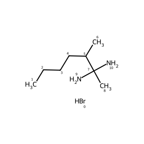 Br.CCCCC(C)C(C)(N)N